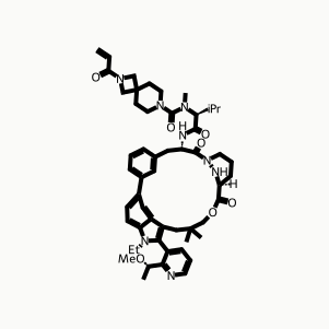 C=CC(=O)N1CC2(CCN(C(=O)N(C)[C@H](C(=O)N[C@H]3Cc4cccc(c4)-c4ccc5c(c4)c(c(-c4cccnc4[C@H](C)OC)n5CC)CC(C)(C)COC(=O)[C@@H]4CCCN(N4)C3=O)C(C)C)CC2)C1